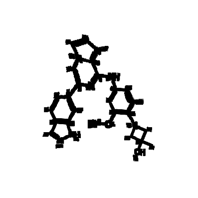 CCOc1cc(Nc2nc(-c3ccc4cn[nH]c4c3)cn3ccnc23)ccc1N1CC(C)(O)C1